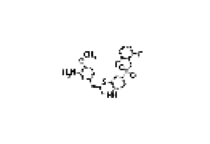 COc1ccc(C=C2CNc3ccc(S(=O)(=O)Cc4c(F)cccc4F)cc3S2)cc1N